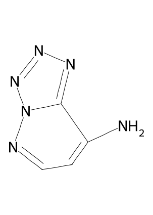 Nc1ccnn2nnnc12